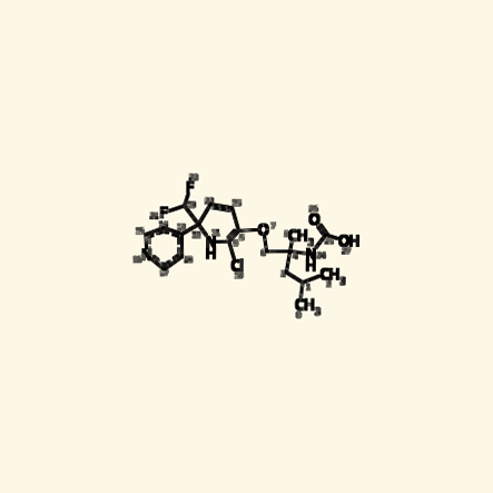 CC(C)CC(C)(COC1=C(Cl)NC(c2ccncc2)(C(F)F)C=C1)NC(=O)O